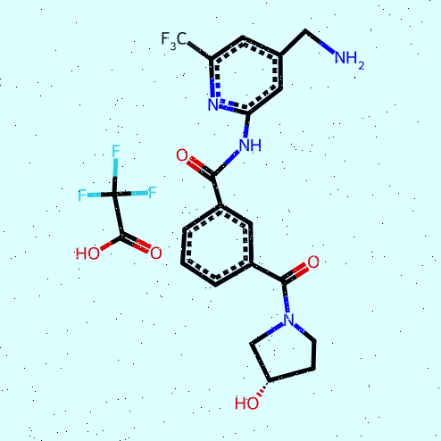 NCc1cc(NC(=O)c2cccc(C(=O)N3CC[C@H](O)C3)c2)nc(C(F)(F)F)c1.O=C(O)C(F)(F)F